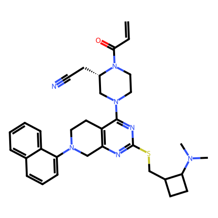 C=CC(=O)N1CCN(c2nc(SCC3CCC3N(C)C)nc3c2CCN(c2cccc4ccccc24)C3)C[C@@H]1CC#N